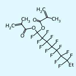 C=C(C)C(=O)OC(F)(OC(=O)C(=C)C)C(F)(F)C(F)(F)C(F)(F)C(F)(F)C(F)(F)C(F)(F)CC